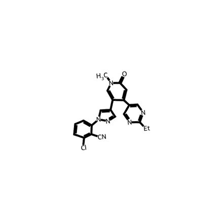 CCc1ncc(-c2cc(=O)n(C)cc2-c2cnn(-c3cccc(Cl)c3C#N)c2)cn1